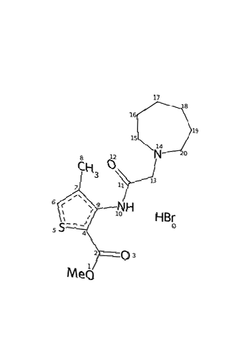 Br.COC(=O)c1scc(C)c1NC(=O)CN1CCCCCC1